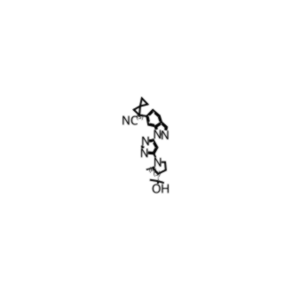 C[C@@H]1[C@@H](C(C)(C)O)CCN1c1cc(-n2ncc3ccc([C@]4(C#N)CC45CC5)cc32)ncn1